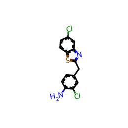 Nc1ccc(Cc2nc3cc(Cl)ccc3s2)cc1Cl